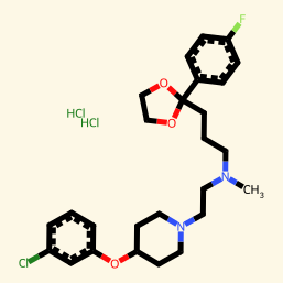 CN(CCCC1(c2ccc(F)cc2)OCCO1)CCN1CCC(Oc2cccc(Cl)c2)CC1.Cl.Cl